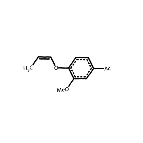 C/C=C\Oc1ccc(C(C)=O)cc1OC